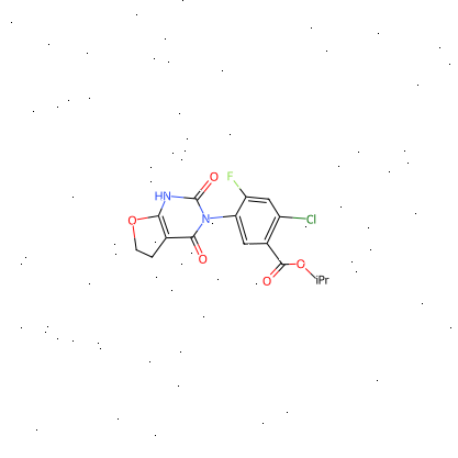 CC(C)OC(=O)c1cc(-n2c(=O)[nH]c3c(c2=O)CCO3)c(F)cc1Cl